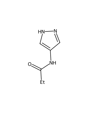 CCC(=O)Nc1cn[nH]c1